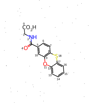 O=C(O)CNC(=O)c1ccc2c(c1)Oc1ccccc1S2